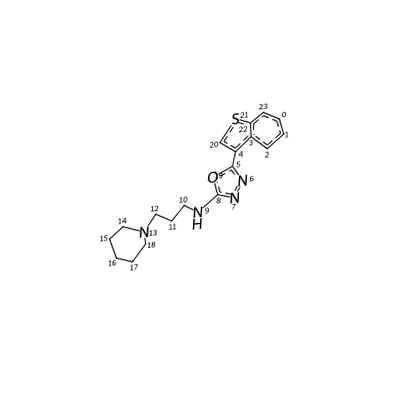 c1ccc2c(-c3nnc(NCCCN4CCCCC4)o3)csc2c1